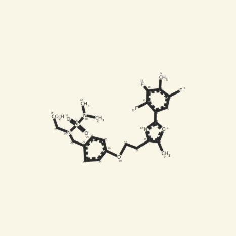 Cc1oc(-c2cc(F)c(C)c(F)c2F)nc1CCOc1ccc(CN(CC(=O)O)S(=O)(=O)N(C)C)cc1